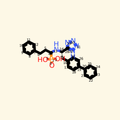 O=P(O)(O)C(CCc1ccccc1)N[C@@H](Cc1ccc(-c2ccccc2)cc1)c1nnn[nH]1